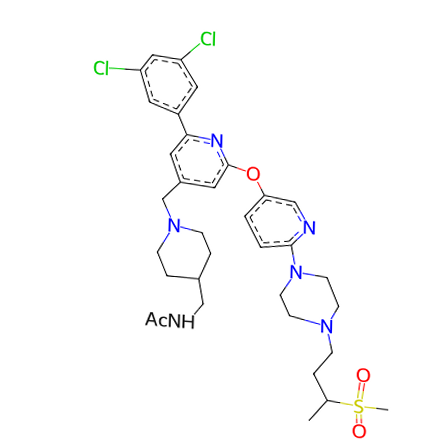 CC(=O)NCC1CCN(Cc2cc(Oc3ccc(N4CCN(CCC(C)S(C)(=O)=O)CC4)nc3)nc(-c3cc(Cl)cc(Cl)c3)c2)CC1